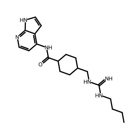 CCCCNC(=N)NCC1CCC(C(=O)Nc2ccnc3[nH]ccc23)CC1